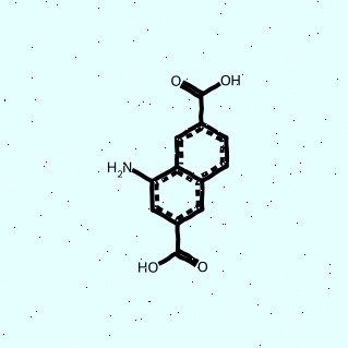 Nc1cc(C(=O)O)cc2ccc(C(=O)O)cc12